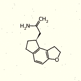 C=C(N)C[C@@H]1CCc2ccc3c(c21)CCO3